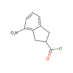 O=C(Cl)C1Cc2cccc([N+](=O)[O-])c2C1